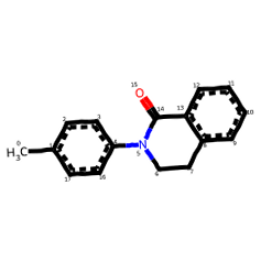 Cc1ccc(N2CCc3ccccc3C2=O)cc1